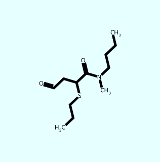 CCCCN(C)C(=O)C(CC=O)SCCC